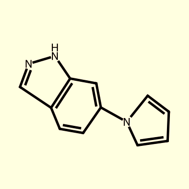 c1ccn(-c2ccc3cn[nH]c3c2)c1